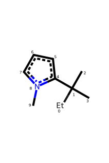 CCC(C)(C)c1cccn1C